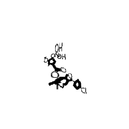 CO[C@H]1CC(C(=O)Oc2c(C)ncc3c2CO[C@H]3c2ccc(Cl)cc2)C[C@@H]1ON(O)O